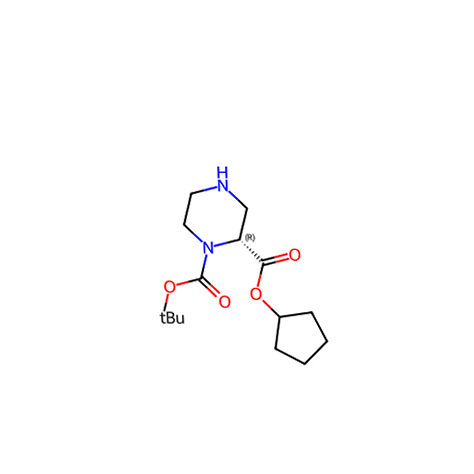 CC(C)(C)OC(=O)N1CCNC[C@@H]1C(=O)OC1CCCC1